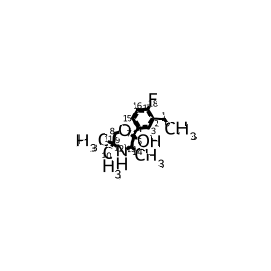 CCc1cc(C2(O)OCC(C)(C)NC2C)ccc1F